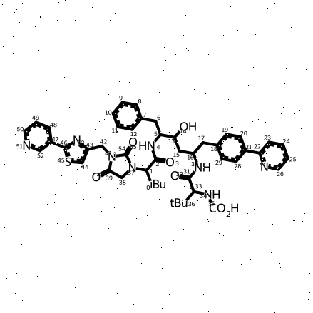 CCC(C)C(C(=O)NC(Cc1ccccc1)C(O)CC(Cc1ccc(-c2ccccn2)cc1)NC(=O)C(NC(=O)O)C(C)(C)C)N1CC(=O)N(Cc2csc(-c3cccnc3)n2)C1=O